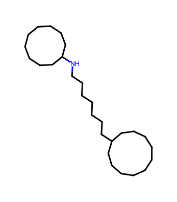 C1CCCCCC(CCCCCCCNC2CCCCCCCCC2)CCCC1